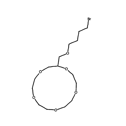 BrCCCCOCC1COCCOCCOCCOCCO1